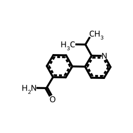 CC(C)c1ncccc1-c1cccc(C(N)=O)c1